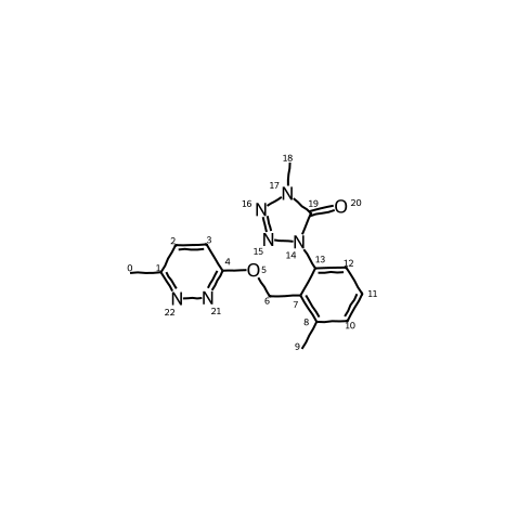 Cc1ccc(OCc2c(C)cccc2-n2nnn(C)c2=O)nn1